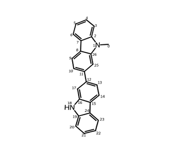 Cn1c2ccccc2c2ccc(-c3ccc4c(c3)[nH]c3ccccc34)cc21